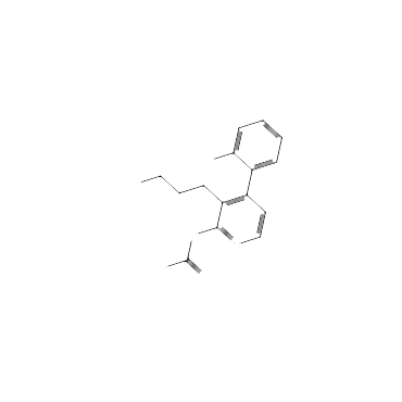 CCCCc1c(-c2ccccc2C)ccnc1OC(=O)O